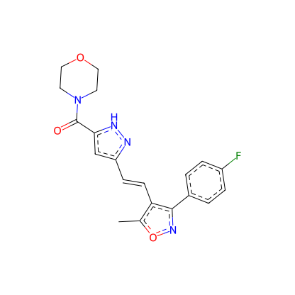 Cc1onc(-c2ccc(F)cc2)c1/C=C/c1cc(C(=O)N2CCOCC2)[nH]n1